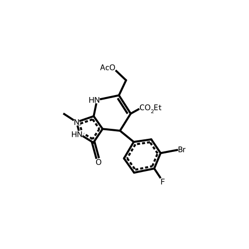 CCOC(=O)C1=C(COC(C)=O)Nc2c(c(=O)[nH]n2C)C1c1ccc(F)c(Br)c1